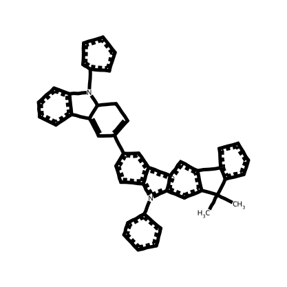 CC1(C)c2ccccc2-c2cc3c4cc(C5=CCC6C(=C5)c5ccccc5N6c5ccccc5)ccc4n(-c4ccccc4)c3cc21